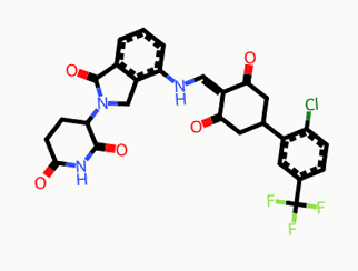 O=C1CCC(N2Cc3c(NC=C4C(=O)CC(c5cc(C(F)(F)F)ccc5Cl)CC4=O)cccc3C2=O)C(=O)N1